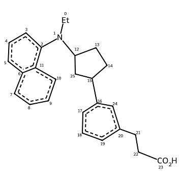 CCN(c1cccc2ccccc12)C1CCC(c2cccc(CCC(=O)O)c2)C1